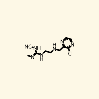 C/N=C(\NC#N)NCCNCc1nccnc1Cl